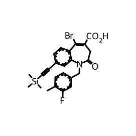 Cc1ccc(CN2C(=O)CC(C(=O)O)=C(Br)c3ccc(C#C[Si](C)(C)C)cc32)cc1F